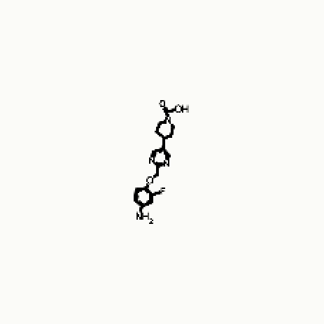 Nc1ccc(OCc2ncc(C3CCN(C(=O)O)CC3)cn2)c(F)c1